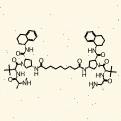 CN[C@@H](C)C(=O)N[C@H](C(=O)N1C[C@@H](NC(=O)CCCCCCCC(=O)N[C@H]2C[C@@H](C(=O)N[C@@H]3CCCc4ccccc43)N(C(=O)[C@@H](NC(=O)[C@H](C)NC)C(C)(C)C)C2)C[C@H]1C(=O)N[C@@H]1CCCc2ccccc21)C(C)(C)C